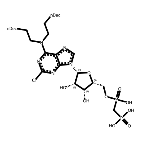 CCCCCCCCCCCCN(CCCCCCCCCCCC)c1nc(Cl)nc2c1ncn2[C@@H]1O[C@H](COP(=O)(O)CP(=O)(O)O)[C@H](O)[C@@H]1O